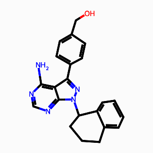 Nc1ncnc2c1c(-c1ccc(CO)cc1)nn2C1CCCc2ccccc21